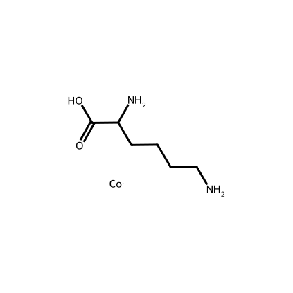 NCCCCC(N)C(=O)O.[Co]